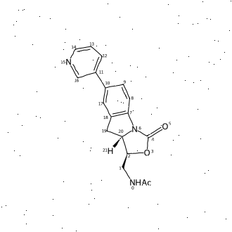 CC(=O)NC[C@@H]1OC(=O)N2c3ccc(-c4cccnc4)cc3C[C@@H]12